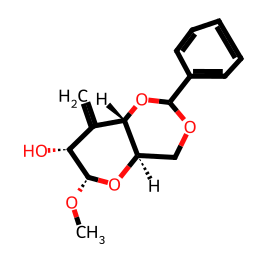 C=C1[C@@H](O)[C@@H](OC)O[C@@H]2COC(c3ccccc3)O[C@@H]12